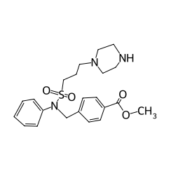 COC(=O)c1ccc(CN(c2ccccc2)S(=O)(=O)CCCN2CCNCC2)cc1